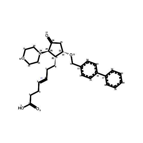 O=C(O)CC/C=C/CC[C@H]1[C@@H](OCc2ccc(-c3ccccc3)cc2)CC(=O)[C@@H]1N1CCOCC1